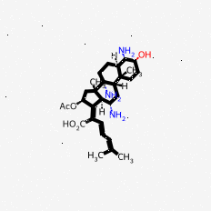 CC(=O)O[C@H]1C[C@@]2(C)[C@H](/C1=C(\C=C\C=C(C)C)C(=O)O)[C@@H](N)C[C@H]1[C@@]3(C)CC[C@@H](O)[C@@H](N)[C@@H]3CC[C@@]12N